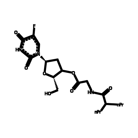 CCCC(CCC)C(=O)NCC(=O)OC1C[C@@H](n2cc(F)c(=O)[nH]c2=O)O[C@H]1CO